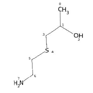 CC(O)CSCCN